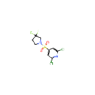 O=S(=O)(c1cc(Cl)nc(Cl)c1)N1CCC(F)(F)C1